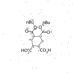 CCCCOC(=O)C1CC(C(=O)O)C(C(=O)O)CC1C(=O)OCCCC